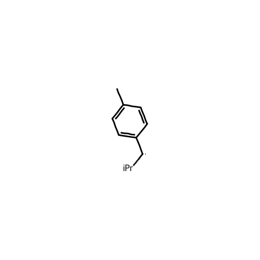 Cc1ccc([CH]C(C)C)cc1